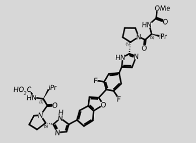 COC(=O)N[C@H](C(=O)N1CCC[C@H]1c1ncc(-c2cc(F)c(-c3cc4cc(-c5cnc([C@@H]6CCCN6C(=O)[C@@H](NC(=O)O)C(C)C)[nH]5)ccc4o3)c(F)c2)[nH]1)C(C)C